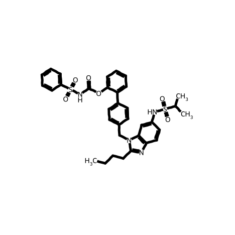 CCCCc1nc2ccc(NS(=O)(=O)C(C)C)cc2n1Cc1ccc(-c2ccccc2OC(=O)NS(=O)(=O)c2ccccc2)cc1